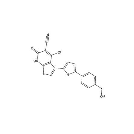 N#Cc1c(O)c2c(-c3ccc(-c4ccc(CO)cc4)s3)csc2[nH]c1=O